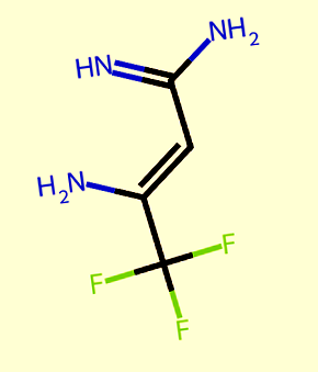 N=C(N)/C=C(\N)C(F)(F)F